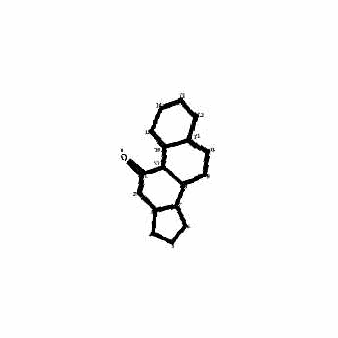 O=C1CC2CCCC2C2CCC3CCCCC3C12